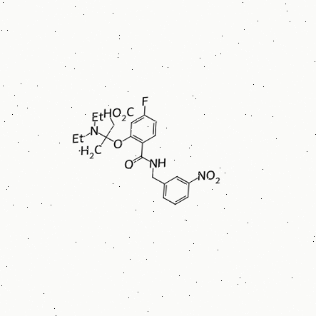 [CH2]C(CC(=O)O)(Oc1cc(F)ccc1C(=O)NCc1cccc([N+](=O)[O-])c1)N(CC)CC